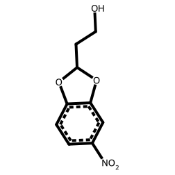 O=[N+]([O-])c1ccc2c(c1)OC(CCO)O2